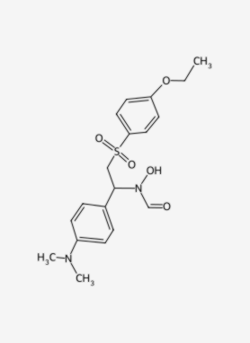 CCOc1ccc(S(=O)(=O)CC(c2ccc(N(C)C)cc2)N(O)C=O)cc1